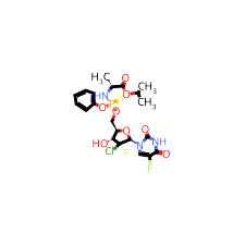 CC(C)OC(=O)[C@@H](C)NP(=S)(OC[C@H]1O[C@@H](n2cc(F)c(=O)[nH]c2=O)[C@@](F)(Cl)[C@@H]1O)Oc1ccccc1